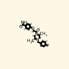 C[C@@H]1CN(Cc2ccc(F)cc2)[C@@H](C)CN1C(=O)COc1ccc(C(N)=O)cc1